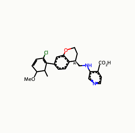 COC1C=CC(Cl)=C(c2ccc3c(c2)OCC[C@H]3CNc2cnccc2C(=O)O)C1C